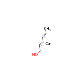 C/C=C/C=C/CO.[Cu]